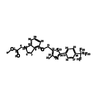 COC(=O)Cn1ccc2c(OCc3sc(-c4ccc(C(F)(F)F)cc4)nc3C)cccc21